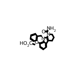 NC(=O)N1CCCc2c1n(Cc1ccccc1)c1c(OCC(=O)O)cccc21